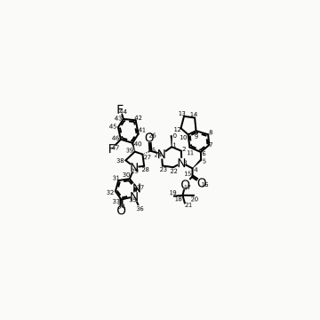 C[C@H]1CN([C@@H](Cc2ccc3c(c2)CCC3)C(=O)OC(C)(C)C)CCN1C(=O)[C@@H]1CN(c2ccc(=O)n(C)n2)C[C@H]1c1ccc(F)cc1F